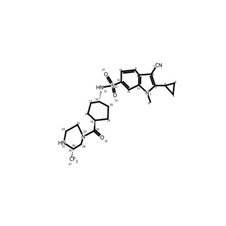 Cn1c(C2CC2)c(C#N)c2ccc(S(=O)(=O)N[C@H]3CC[C@H](C(=O)N4CCN[C@@H](C(F)(F)F)C4)CC3)cc21